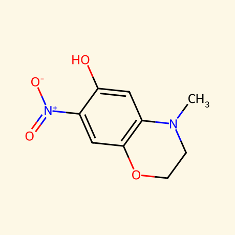 CN1CCOc2cc([N+](=O)[O-])c(O)cc21